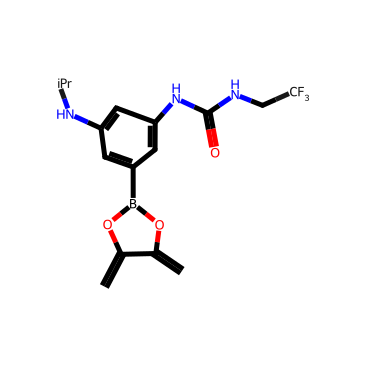 C=C1OB(c2cc(NC(=O)NCC(F)(F)F)cc(NC(C)C)c2)OC1=C